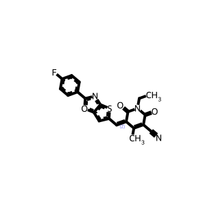 CCN1C(=O)C(C#N)=C(C)/C(=C/c2cc3oc(-c4ccc(F)cc4)nc3s2)C1=O